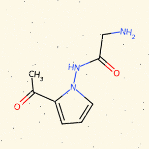 CC(=O)c1cccn1NC(=O)CN